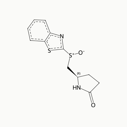 O=C1CC[C@H](C[S+]([O-])c2nc3ccccc3s2)N1